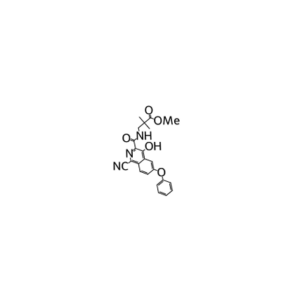 COC(=O)C(C)(C)CNC(=O)c1nc(C#N)c2ccc(Oc3ccccc3)cc2c1O